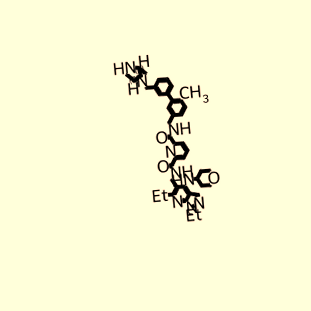 CCc1nc2c(cnn2CC)c(NC2CCOCC2)c1CNC(=O)c1cccc(C(=O)NCc2ccc(C)c(-c3cccc(CN4C[C@@H]5C[C@H]4CN5)c3)c2)n1